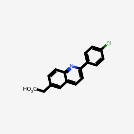 O=C(O)Cc1ccc2nc(-c3ccc(Cl)cc3)ccc2c1